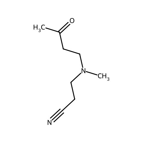 CC(=O)CCN(C)CCC#N